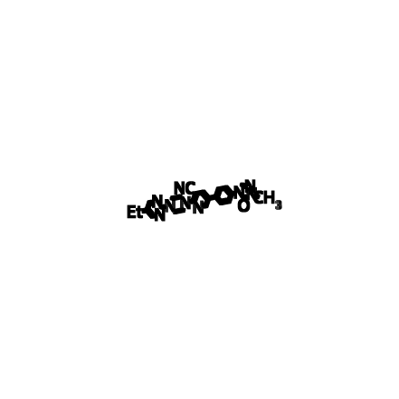 CCc1cnc(N2CCN(c3ncc(-c4ccc(-n5cnn(C)c5=O)cc4)cc3C#N)CC2)nc1